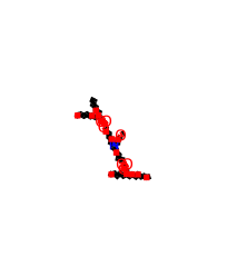 CCCCCCCCC(CCCCCC)COC(=O)OCCCCCCN(CCCCCCOC(=O)OCC(CCCCCC)CCCCCCCC)CCCOC